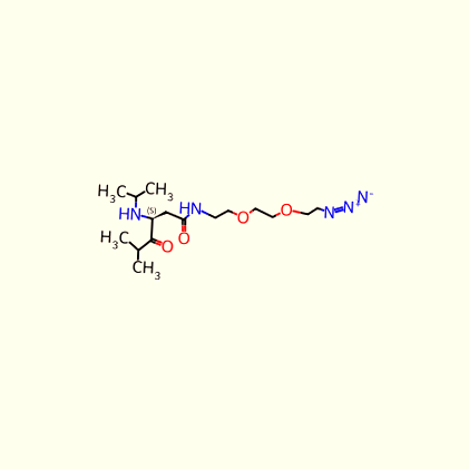 CC(C)N[C@@H](CC(=O)NCCOCCOCCN=[N+]=[N-])C(=O)C(C)C